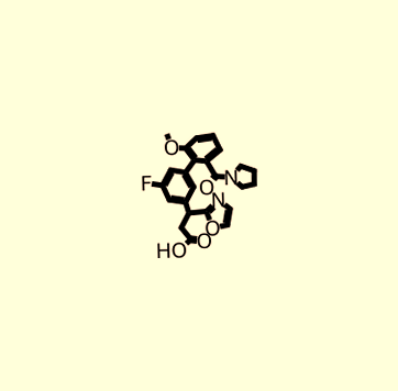 COc1cccc(C(=O)N2CCCC2)c1-c1cc(F)cc(C(CC(=O)O)c2ncco2)c1